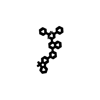 CC1(C)c2ccccc2-c2cc(-c3cccc(-c4ccc(-c5cc(-c6ccccc6)nc(-c6ccccc6)n5)c5ccccc45)c3)ccc21